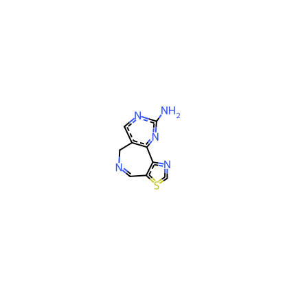 Nc1ncc2c(n1)-c1ncsc1C=NC2